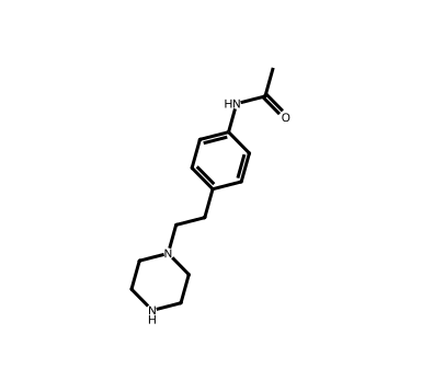 CC(=O)Nc1ccc(CCN2CCNCC2)cc1